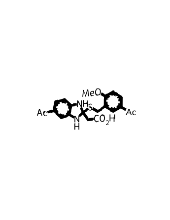 COc1ccc(C(C)=O)cc1CSC1(CC(=O)O)Nc2ccc(C(C)=O)cc2N1